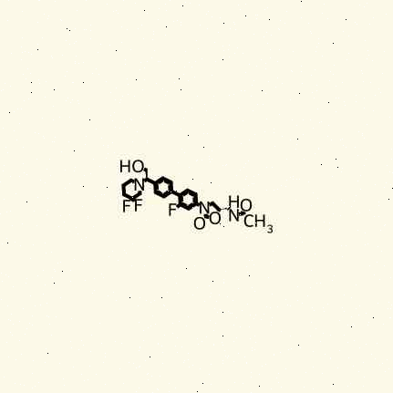 CC(=O)NC[C@H]1CN(c2ccc(-c3ccc([C@H](CO)N4CCCC(F)(F)C4)cc3)c(F)c2)C(=O)O1